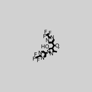 COC(c1cnc(C(F)(F)F)nc1)C1C(C)=NN(c2cnc(C(F)(F)F)nc2)C1O